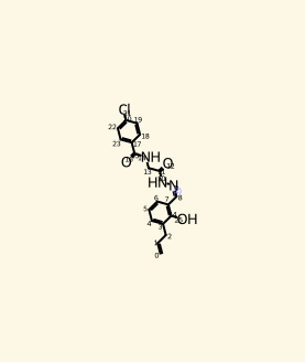 C=CCc1cccc(/C=N\NC(=O)CNC(=O)c2ccc(Cl)cc2)c1O